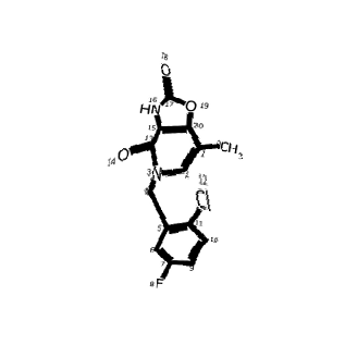 Cc1cn(Cc2cc(F)ccc2Cl)c(=O)c2[nH]c(=O)oc12